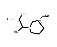 CO[C@@H]1CCCN(C(O)[C@H](C)O)C1